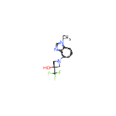 Cn1cnc2c(N3CC(O)(C(F)(F)F)C3)cccc21